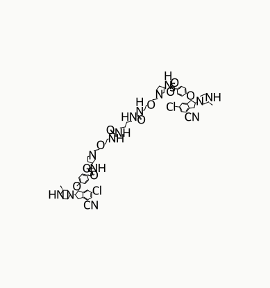 C[C@H]1CN([C@H]2Cc3c(C#N)cc(Cl)cc3[C@@H]2Oc2ccc(S(=O)(=O)N[C@@H]3CCN(CCOCCNC(=O)NCCCCNC(=O)NCCOCCN4CC[C@@H](NS(=O)(=O)c5ccc(O[C@H]6c7cc(Cl)cc(C#N)c7C[C@@H]6N6CCN[C@@H](C)C6)cc5)C4)C3)cc2)CCN1